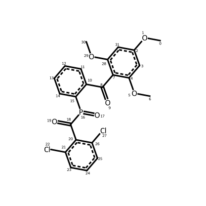 COc1cc(OC)c(C(=O)c2ccccc2[P](=O)C(=O)c2c(Cl)cccc2Cl)c(OC)c1